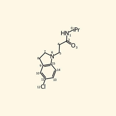 CC(C)NC(=O)CCN1CCc2cc(Cl)ccc21